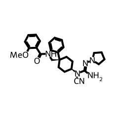 COc1ccccc1C(=O)NC[C@]1(c2ccccc2)CC[C@H](N(C#N)C(N)=NN2CCCC2)CC1